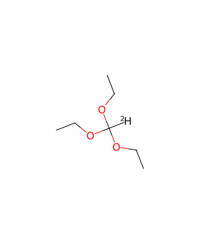 [2H]C(OCC)(OCC)OCC